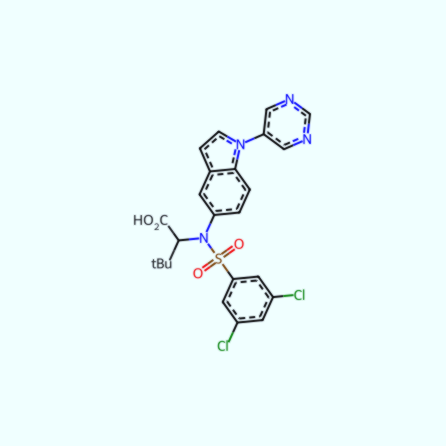 CC(C)(C)C(C(=O)O)N(c1ccc2c(ccn2-c2cncnc2)c1)S(=O)(=O)c1cc(Cl)cc(Cl)c1